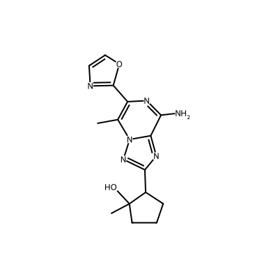 Cc1c(-c2ncco2)nc(N)c2nc(C3CCCC3(C)O)nn12